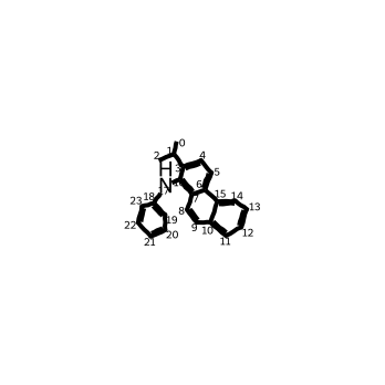 CC(C)c1ccc2c(ccc3ccccc32)c1Nc1ccccc1